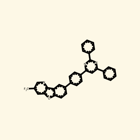 FC(F)(F)c1cnc2c(c1)oc1ccc(-c3ccc(-c4cc(-c5ccccc5)nc(-c5ccccc5)n4)cc3)cc12